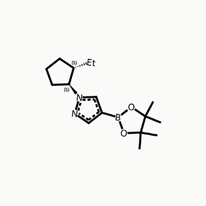 CC[C@H]1CCC[C@@H]1n1cc(B2OC(C)(C)C(C)(C)O2)cn1